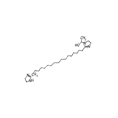 C1=NCCN1.CCCCCCCCCCCCCCCCCC1=NCCN1C(C)O